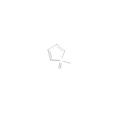 CP1(=S)C=CC=C1